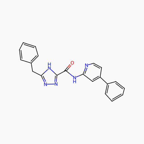 O=C(Nc1cc(-c2ccccc2)ccn1)c1nnc(Cc2ccccc2)[nH]1